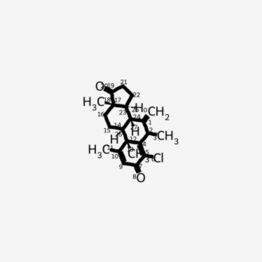 C=C1C(C)C2=C(Cl)C(=O)C=C(C)[C@]2(C)[C@H]2CC[C@]3(C)C(=O)CC[C@H]3[C@H]12